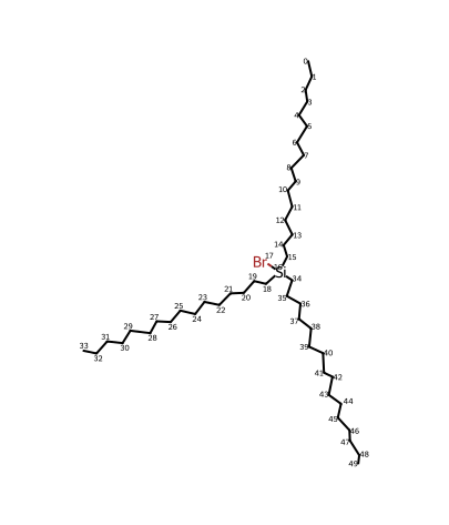 CCCCCCCCCCCCCCCC[Si](Br)(CCCCCCCCCCCCCCCC)CCCCCCCCCCCCCCCC